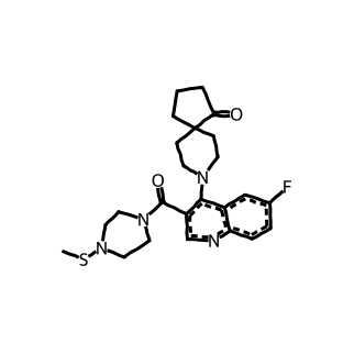 CSN1CCN(C(=O)c2cnc3ccc(F)cc3c2N2CCC3(CCCC3=O)CC2)CC1